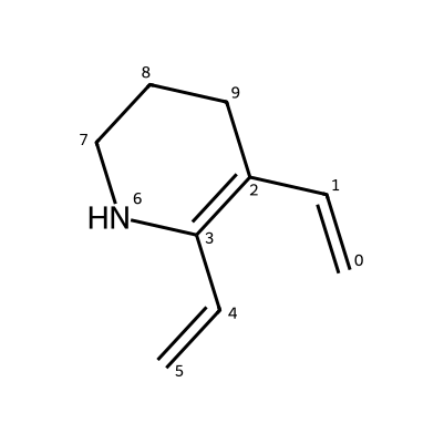 C=CC1=C(C=C)NCCC1